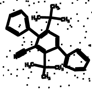 CC(C)(C)c1cc(-c2ccccc2)c(C(C)(C)C)c(C#N)c1-c1ccccc1